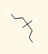 [CH2]CCC(C)(C)CCC